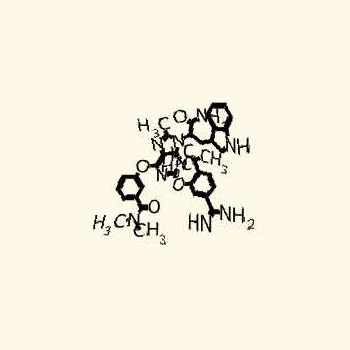 Cc1nc2c(Oc3cccc(C(=O)N(C)C)c3)nc(Oc3cc(C(=N)N)ccc3C(C)(C)C)nc2n1C(CC1CNc2ccccc21)C(N)=O